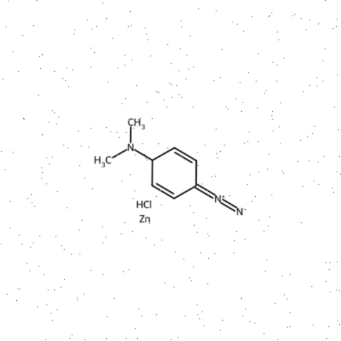 CN(C)C1C=CC(=[N+]=[N-])C=C1.Cl.[Zn]